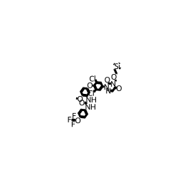 COc1ccc(Oc2c(Cl)cc(-n3ncc(=O)n(COCC[Si](C)(C)C)c3=O)cc2Cl)cc1NC(=O)Nc1ccc(OC(F)(F)F)cc1